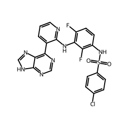 O=S(=O)(Nc1ccc(F)c(Nc2ncccc2-c2ncnc3[nH]cnc23)c1F)c1ccc(Cl)cc1